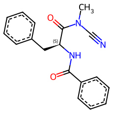 CN(C#N)C(=O)[C@H](Cc1ccccc1)NC(=O)c1ccccc1